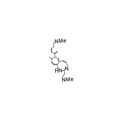 C=C(/C=C\CCNC)C1C=C2/C=C\C/N=C(/CCNC)NC(C)C2=C=CC1C